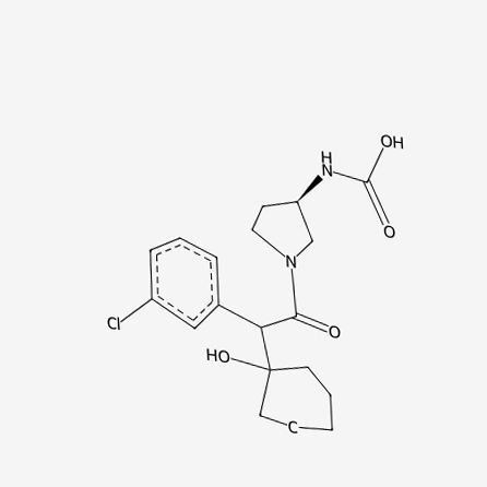 O=C(O)N[C@@H]1CCN(C(=O)C(c2cccc(Cl)c2)C2(O)CCCCC2)C1